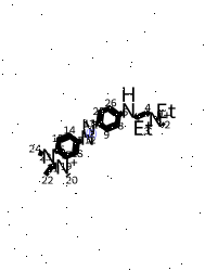 CC[N+](C)(CC)CCNc1ccc(/N=N/c2ccc3c(c2)[n+](C)c(C)n3C)cc1